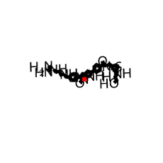 N=C(N)NCCCNCc1ccc(-n2cc3cc(-c4ccc(C(=O)NCc5csc(NCCO)n5)cc4)[nH]c3nc2=O)cc1